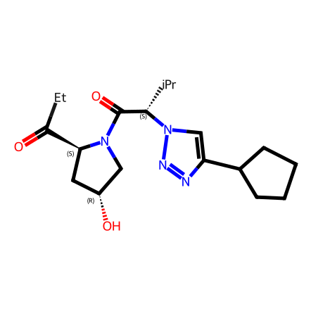 CCC(=O)[C@@H]1C[C@@H](O)CN1C(=O)[C@H](C(C)C)n1cc(C2CCCC2)nn1